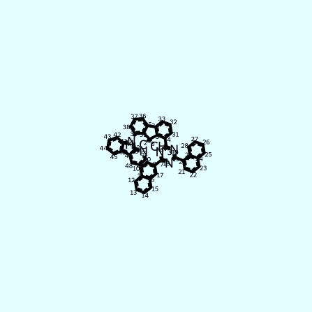 CC1(C)c2c(-c3nc(-c4ccc5ccccc5c4)nc(-c4cccc5ccccc45)n3)cccc2-c2cccc(-n3c4ccccc4c4cccnc43)c21